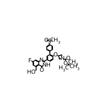 C[S+]([O-])c1ccc(-c2cc(-c3nc4cc(F)cc(CO)c4c(=O)[nH]3)ccc2OC2CN(C(=O)OC(C)(C)C)C2)cc1